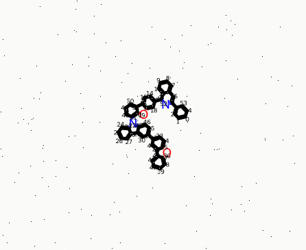 c1ccc(-c2cc3ccccc3c(-c3ccc4c(c3)oc3c(-n5c6ccccc6c6cc(-c7ccc8oc9ccccc9c8c7)ccc65)cccc34)n2)cc1